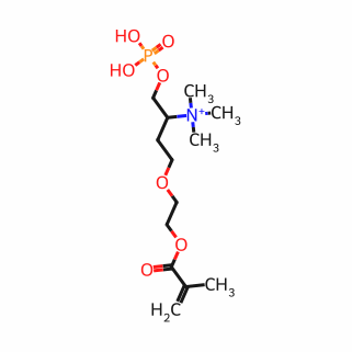 C=C(C)C(=O)OCCOCCC(COP(=O)(O)O)[N+](C)(C)C